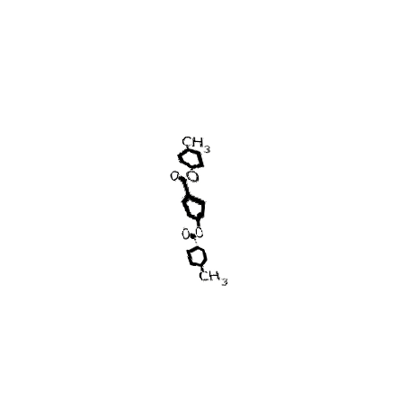 C[C@H]1CC[C@H](OC(=O)c2ccc(OC(=O)[C@H]3CC[C@H](C)CC3)cc2)CC1